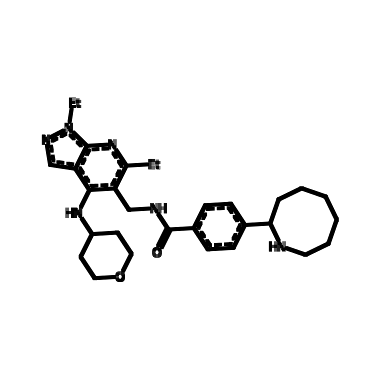 CCc1nc2c(cnn2CC)c(NC2CCOCC2)c1CNC(=O)c1ccc(C2CCCCCCN2)cc1